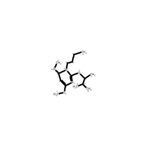 [CH2]C(OC1=NC(OC)=CC(OC)N1CCCC)C(C)C